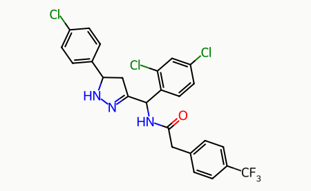 O=C(Cc1ccc(C(F)(F)F)cc1)NC(C1=NNC(c2ccc(Cl)cc2)C1)c1ccc(Cl)cc1Cl